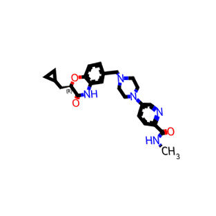 CNC(=O)c1ccc(N2CCN(Cc3ccc4c(c3)NC(=O)[C@@H](CC3CC3)O4)CC2)cn1